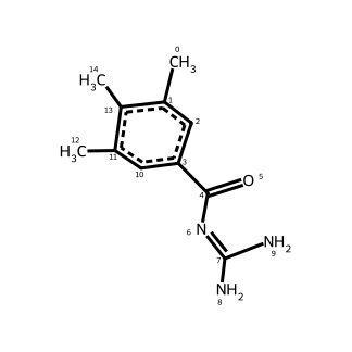 Cc1cc(C(=O)N=C(N)N)cc(C)c1C